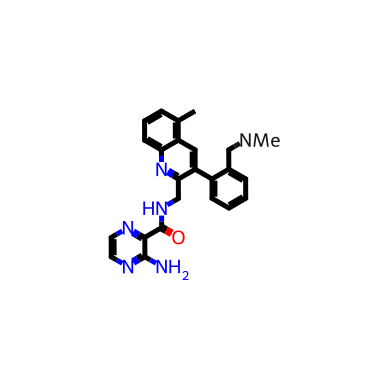 CNCc1ccccc1-c1cc2c(C)cccc2nc1CNC(=O)c1nccnc1N